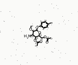 COC1C(Sc2ccc(C)cc2)OC(COC(C)=O)C(OC(C)=O)C1N